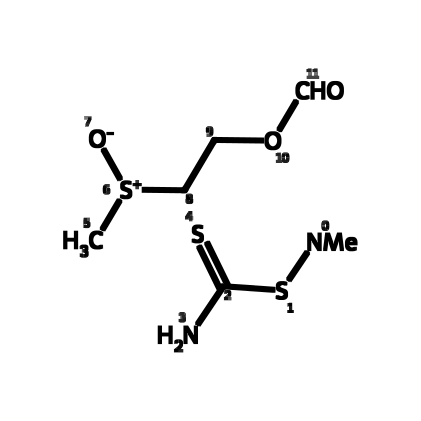 CNSC(N)=S.C[S+]([O-])CCOC=O